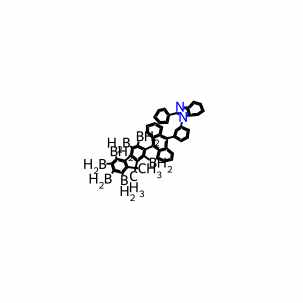 Bc1c(B)c(B)c2c(c1B)-c1c(B)c(B)c(-c3c4ccccc4c(-c4cccc(-n5c(-c6ccccc6)nc6ccccc65)c4)c4ccccc34)c(B)c1C2(C)C